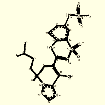 CC(C)CCC1(C)CC(C2=NS(=O)(=O)c3cc(NS(C)(=O)=O)ccc3N2)=C(O)c2ncnn21